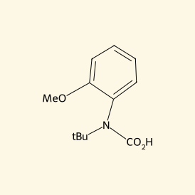 COc1ccccc1N(C(=O)O)C(C)(C)C